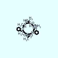 CCC[C@H]1C(=O)N[C@@H](C2CCCCC2)C(=O)N[C@@H](CN)C(=O)N[C@@H]([C@H](C)O)C(=O)N[C@H](C)CO[C@H](CC2CCCCC2)[C@@H](C)C(=O)N1C